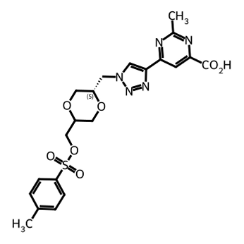 Cc1ccc(S(=O)(=O)OCC2CO[C@@H](Cn3cc(-c4cc(C(=O)O)nc(C)n4)nn3)CO2)cc1